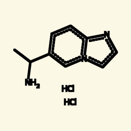 CC(N)c1ccc2nccn2c1.Cl.Cl